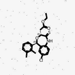 CCOC(=O)C[C@H]1O[C@H](c2cccc(C)c2C)c2cc(Cl)ccc2NC1=S